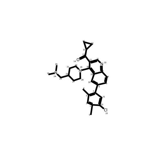 Cc1cc(C)c(-c2ccc3ncc(C(=O)C4CC4)c(N4CCC(CN(C)C)CC4)c3c2)cc1Cl